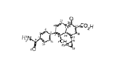 Cc1c(-c2ccc(C(N)=O)cc2)ccn2c(=O)c(C(=O)O)cc(C3CC3)c12